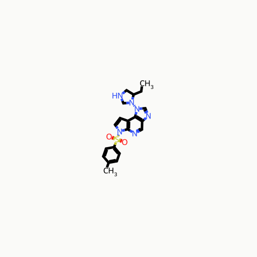 CCC1CNCN1n1cnc2cnc3c(ccn3S(=O)(=O)c3ccc(C)cc3)c21